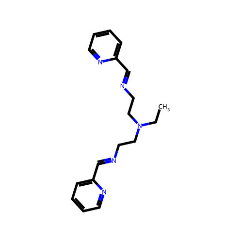 CCN(CC/N=C/c1ccccn1)CC/N=C/c1ccccn1